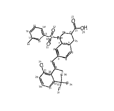 C/C(=C\c1ccc2c(c1)N(S(=O)(=O)c1cccc(C)c1)CC(C(=O)O)C2)c1c(Cl)cccc1C(F)(F)F